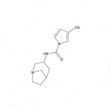 N#Cc1ccn(C(=O)NC2CC3CCN(C3)C2)c1